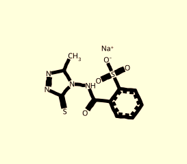 CC1N=NC(=S)N1NC(=O)c1ccccc1S(=O)(=O)[O-].[Na+]